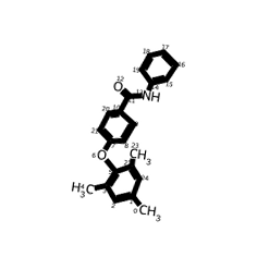 Cc1cc(C)c(Oc2ccc(C(=O)Nc3ccccc3)cc2)c(C)c1